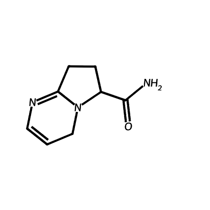 NC(=O)C1CCC2=NC=CCN21